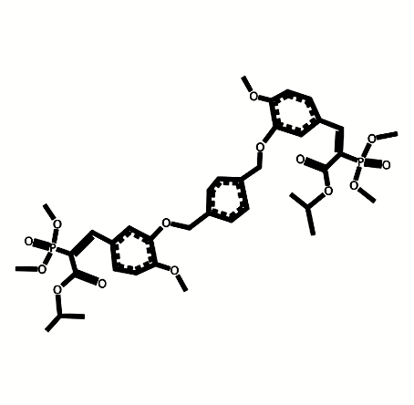 COc1ccc(/C=C(\C(=O)OC(C)C)P(=O)(OC)OC)cc1OCc1ccc(COc2cc(/C=C(\C(=O)OC(C)C)P(=O)(OC)OC)ccc2OC)cc1